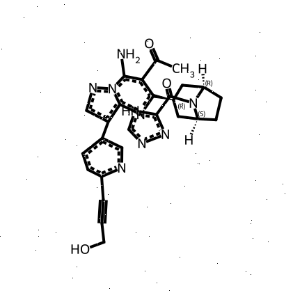 CC(=O)c1c([C@H]2C[C@H]3CC[C@@H](C2)N3C(=O)c2nnc[nH]2)nc2c(-c3ccc(C#CCO)nc3)cnn2c1N